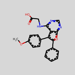 COc1ccc(-c2c(-c3ccccc3)oc3ncnc(NCC(=O)O)c23)cc1